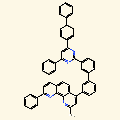 Cc1cc(-c2cccc(-c3cccc(-c4nc(C5=CCC(c6ccccc6)C=C5)cc(-c5ccccc5)n4)c3)c2)c2ccc3ccc(-c4ccccc4)nc3c2n1